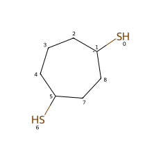 S[C]1CCCC(S)CC1